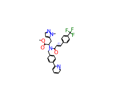 COC(=O)C(Cc1ccnn1C)N(Cc1ccc(-c2ccccn2)cc1)C(=O)/C=C/c1ccc(C(F)(F)F)cc1